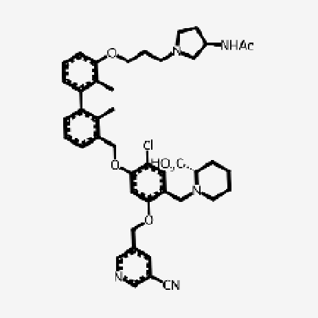 CC(=O)N[C@@H]1CCN(CCCOc2cccc(-c3cccc(COc4cc(OCc5cncc(C#N)c5)c(CN5CCCC[C@H]5C(=O)O)cc4Cl)c3C)c2C)C1